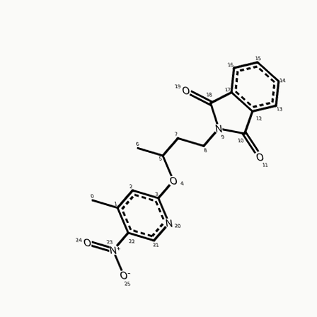 Cc1cc(OC(C)CCN2C(=O)c3ccccc3C2=O)ncc1[N+](=O)[O-]